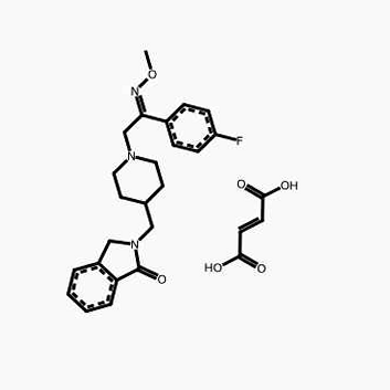 CO/N=C(/CN1CCC(CN2Cc3ccccc3C2=O)CC1)c1ccc(F)cc1.O=C(O)/C=C/C(=O)O